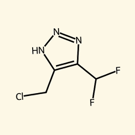 FC(F)c1nn[nH]c1CCl